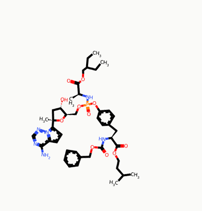 CCC(CC)COC(=O)[C@H](C)NP(=O)(OC[C@H]1O[C@@](C)(c2ccc3c(N)ncnn23)C[C@@H]1O)Oc1ccc(C[C@H](NC(=O)OCc2ccccc2)C(=O)OCCC(C)C)cc1